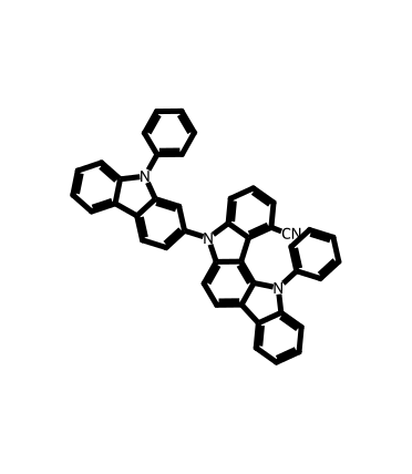 N#Cc1cccc2c1c1c(ccc3c4ccccc4n(-c4ccccc4)c31)n2-c1ccc2c3ccccc3n(-c3ccccc3)c2c1